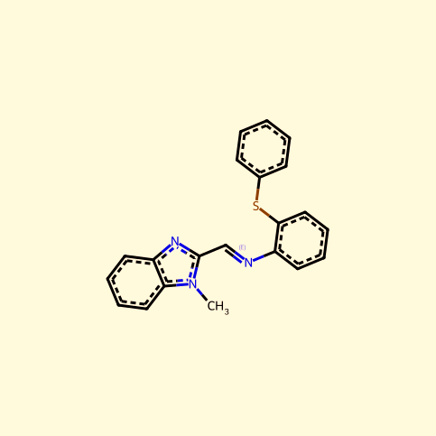 Cn1c(/C=N/c2ccccc2Sc2ccccc2)nc2ccccc21